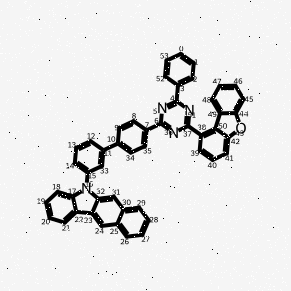 c1ccc(-c2nc(-c3ccc(-c4cccc(-n5c6ccccc6c6cc7ccccc7cc65)c4)cc3)nc(-c3cccc4oc5ccccc5c34)n2)cc1